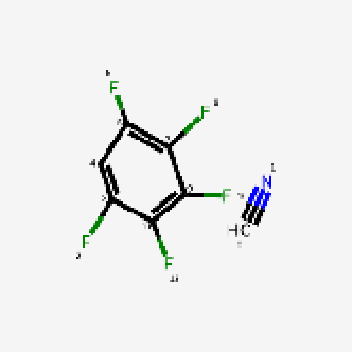 C#N.Fc1cc(F)c(F)c(F)c1F